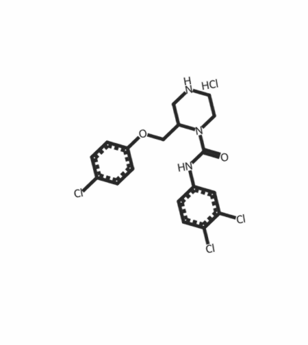 Cl.O=C(Nc1ccc(Cl)c(Cl)c1)N1CCNCC1COc1ccc(Cl)cc1